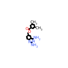 Cc1cc(C)cc(C(=O)OCc2ccc3nc(N)nc(N)c3c2)c1